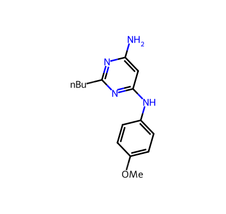 CCCCc1nc(N)cc(Nc2ccc(OC)cc2)n1